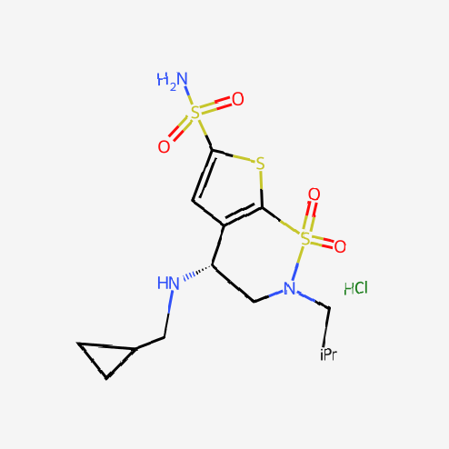 CC(C)CN1C[C@H](NCC2CC2)c2cc(S(N)(=O)=O)sc2S1(=O)=O.Cl